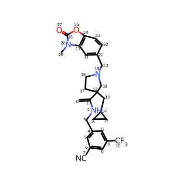 C=C(NCc1cc(C#N)cc(C(F)(F)F)c1)C1(CC2CC2)CCN(Cc2ccc3oc(=O)n(C)c3c2)C1